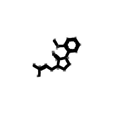 COc1ccccc1N1CCC(CC=C(C)C)C1=O